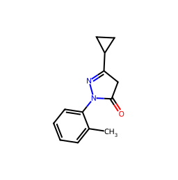 Cc1ccccc1N1N=C(C2CC2)CC1=O